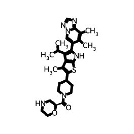 Cc1c(-c2[nH]c3sc(C4CCN(C(=O)[C@@H]5CNCCO5)CC4)c(C)c3c2C(C)C)cn2ncnc2c1C